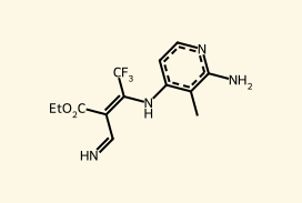 CCOC(=O)/C(C=N)=C(/Nc1ccnc(N)c1C)C(F)(F)F